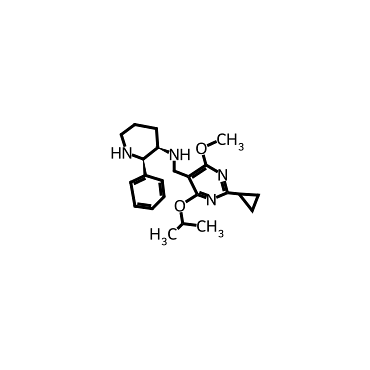 COc1nc(C2CC2)nc(OC(C)C)c1CN[C@@H]1CCCN[C@@H]1c1ccccc1